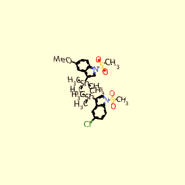 COc1ccc2c(c1)[c]([Sn]([CH3])([CH3])[CH3])cn2S(C)(=O)=O.CS(=O)(=O)n1c[c]([Sn]([CH3])([CH3])[CH3])c2cc(Cl)ccc21